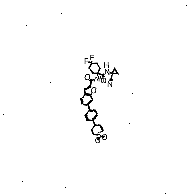 N#CC1(NC(=O)C2(NC(=O)c3cc4ccc(-c5ccc(C6CCS(=O)(=O)CC6)cc5)cc4o3)CCC(F)(F)CC2)CC1